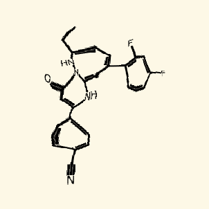 CCc1ccc(-c2ccc(F)cc2F)cc2[nH]c(-c3ccc(C#N)cc3)cc(=O)n2[nH]1